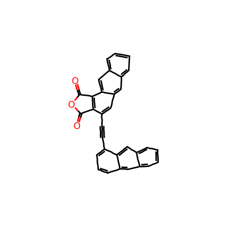 O=C1OC(=O)c2c1c(C#Cc1cccc3cc4ccccc4cc13)cc1cc3ccccc3cc21